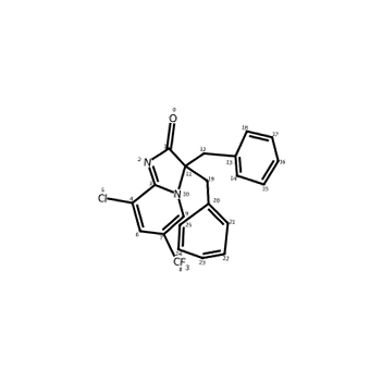 O=C1N=C2C(Cl)=CC(C(F)(F)F)=CN2C1(Cc1ccccc1)Cc1ccccc1